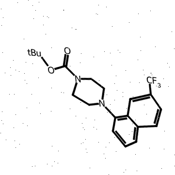 CC(C)(C)OC(=O)N1CCN(c2cccc3ccc(C(F)(F)F)cc23)CC1